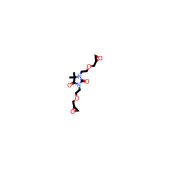 CC1(C)C(=O)N(CCOCC2CO2)C(=O)N1CCOCC1CO1